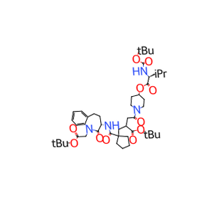 CC(C)[C@H](NC(=O)OC(C)(C)C)C(=O)OC1CCN(C(=O)CC(CC2(C(=O)N[C@H]3CCc4ccccc4N(CC(=O)OC(C)(C)C)C3=O)CCCC2)C(=O)OC(C)(C)C)CC1